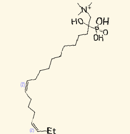 CC/C=C\CCC/C=C\CCCCCCCCCC(O)(C[N+](C)(C)C)P(=O)(O)O